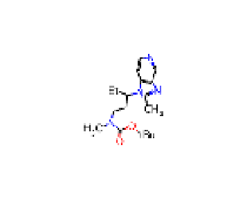 CCC(CCN(C)C(=O)OC(C)(C)C)n1c(C)nc2cnccc21